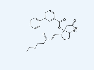 CCOCCC(=O)C=CC1CCC(O)C1(CC(=O)O)OC(=O)c1cccc(-c2ccccc2)c1